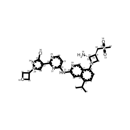 CC(C)c1ccc(N2C[C@H](CS(C)(=O)=O)[C@H]2N)c2cnc(Nc3ccnc(-c4cn(C5COC5)nc4Cl)n3)cc12